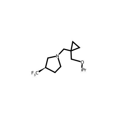 CC(C)OCC1(CN2CC[C@@H](C(F)(F)F)C2)CC1